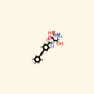 CC(O)C(NC(=O)c1ccc(C#Cc2ccccc2)cc1)C(=O)NO